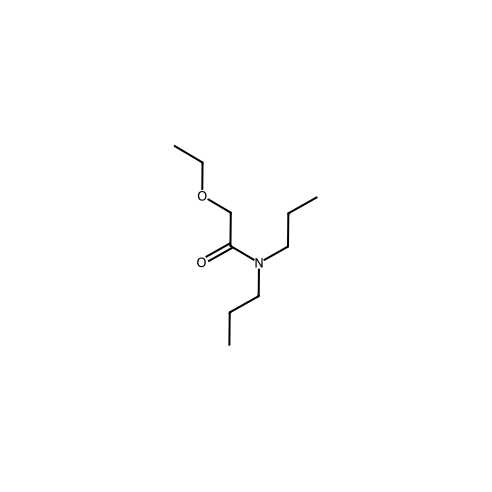 CCCN(CCC)C(=O)COCC